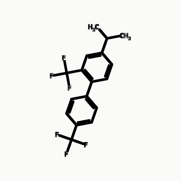 CC(C)c1ccc(-c2ccc(C(F)(F)F)cc2)c(C(F)(F)F)c1